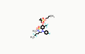 CCCCOS(=O)(=O)C1(COc2cc3c(cc2C(F)(F)F)N(c2ccc(F)cc2)CC(CCC(C)(F)F)N(C)S3(=O)=O)CC1